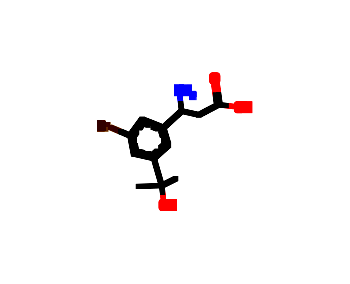 CC(C)(O)c1cc(Br)cc(C(N)CC(=O)O)c1